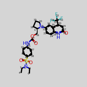 CCN(CC)S(=O)(=O)c1ccc(NC(=O)OC[C@H]2CCCN2c2ccc3[nH]c(=O)cc(C(F)(F)F)c3c2)cc1